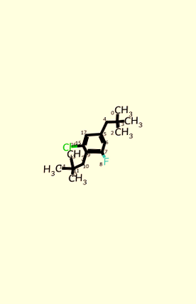 CC(C)(C)Cc1cc(F)c(CC(C)(C)C)c(Cl)c1